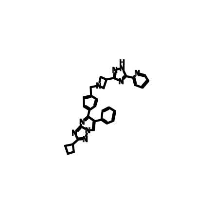 c1ccc(-c2cn3nc(C4CCC4)nc3nc2-c2ccc(CN3CC(c4n[nH]c(-c5ccccn5)n4)C3)cc2)cc1